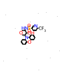 O=S(=O)(N[C@@H]1COC[C@H](N2c3ccccc3Oc3ccccc32)[C@H]1O)c1ccc(C(F)(F)F)nc1